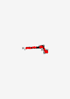 CCC=CCC=CCC=CCC=CCC=CCC=CCCC(=O)NC(CCCCNC(=O)c1cccnc1C#N)C(=O)O